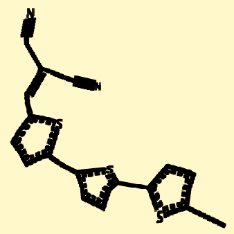 Cc1ccc(-c2ccc(-c3ccc(C=C(C#N)C#N)s3)s2)s1